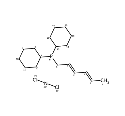 CC=CC=CCP(C1CCCCC1)C1CCCCC1.[Cl][Ni][Cl]